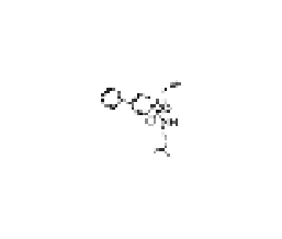 C#CCOC1(S(=O)(=O)NCCC(=C)C)C=CC(c2ccccc2)=CC1